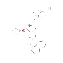 C[C@H]1CCC2(COc3nc(N4CC5CCC(C4)N5C(=O)OC(C)(C)C)c4cnc(-c5cccc6cccc(Cl)c56)c(F)c4n3)CCCN12